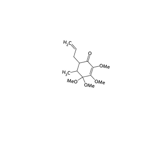 C=CCC1C(=O)C(OC)=C(OC)C(OC)(OC)C1C